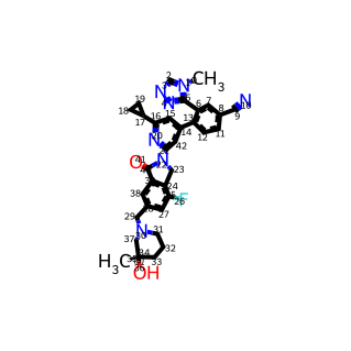 Cn1cnnc1-c1cc(C#N)ccc1-c1cc(C2CC2)nc(N2Cc3c(F)cc(CN4CCC[C@](C)(O)C4)cc3C2=O)c1